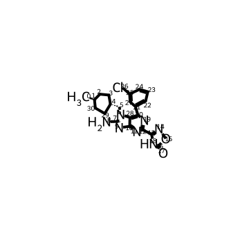 C[C@H]1CC[C@H](Cn2c(N)nc3nc(-c4noc(=O)[nH]4)nc(-c4cccc(Cl)c4)c32)CC1